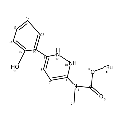 CN(C(=O)OC(C)(C)C)C1=CC=C(c2ccccc2O)NN1